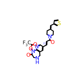 O=C(/C=C/c1cnc2c(c1)CNCC(=O)N2OC(=O)C(F)(F)F)N1CCC(=Cc2ccsc2)CC1